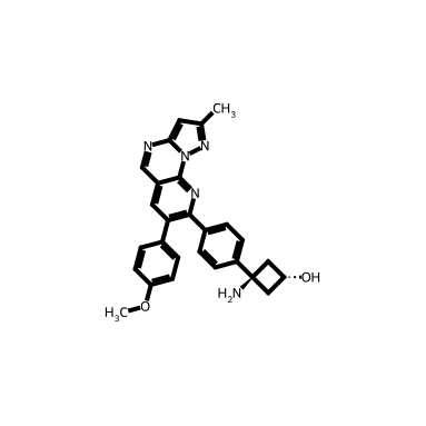 COc1ccc(-c2cc3cnc4cc(C)nn4c3nc2-c2ccc([C@]3(N)C[C@H](O)C3)cc2)cc1